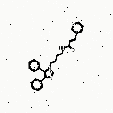 O=C(C=Cc1cccnc1)NCCCCn1cnc(-c2ccccc2)c1-c1ccccc1